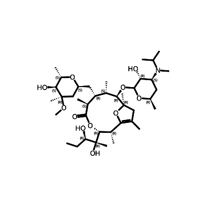 CC[C@@H](O)[C@@](C)(O)[C@@H]1OC(=O)[C@@H](C)[C@H](C[C@H]2C[C@@](C)(OC)[C@@H](O)[C@H](C)O2)[C@H](C)[C@@H](OC2O[C@H](C)C[C@H](N(C)C(C)C)[C@H]2O)[C@@]2(C)CC(C)=C(O2)[C@@H]1C